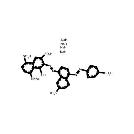 CC(=O)Nc1ccc(S(=O)(=O)O)c2cc(S(=O)(=O)O)c(N=Nc3ccc(N=Nc4ccc(S(=O)(=O)O)cc4)c4ccc(S(=O)(=O)O)cc34)c(O)c12.[NaH].[NaH].[NaH].[NaH]